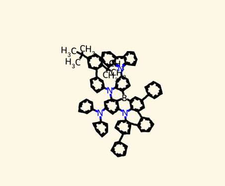 CC(C)(C)c1ccc(C(C)(C)C)c(-c2cccc(N3c4cc(-n5c6ccccc6c6ccccc65)ccc4B4c5cc(-c6ccccc6)cc6c5N(c5ccc(-c7ccccc7)cc5-c5ccccc5-6)c5cc(N(c6ccccc6)c6ccccc6)cc3c54)c2)c1